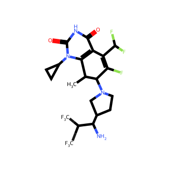 CC1c2c(c(=O)[nH]c(=O)n2C2CC2)C(C(F)F)=C(F)C1N1CCC(C(N)C(C(F)(F)F)C(F)(F)F)C1